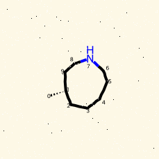 C[C@H]1CCCCCNCC1